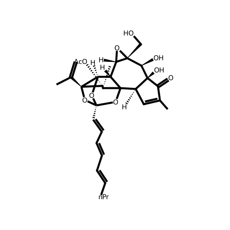 C=C(C)[C@@]12O[C@@]3(/C=C/C=C/C=C/CCC)O[C@@H]1[C@@H]1[C@@H]4O[C@]4(CO)[C@@H](O)[C@]4(O)C(=O)C(C)=C[C@H]4C1(O3)[C@H](C)[C@H]2OC(C)=O